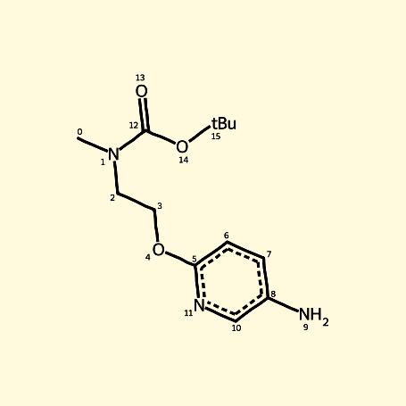 CN(CCOc1ccc(N)cn1)C(=O)OC(C)(C)C